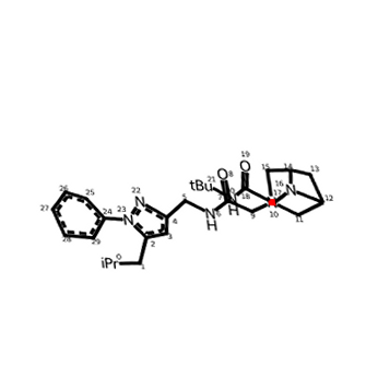 CC(C)Cc1cc(CNC(=O)CN2CC3CC(C2)N3CC(=O)NC(C)(C)C)nn1-c1ccccc1